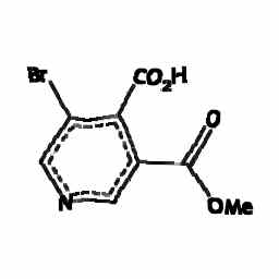 COC(=O)c1cncc(Br)c1C(=O)O